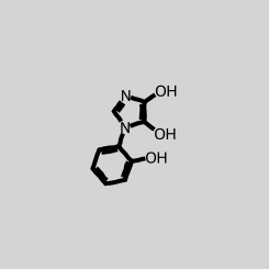 Oc1ccccc1-n1cnc(O)c1O